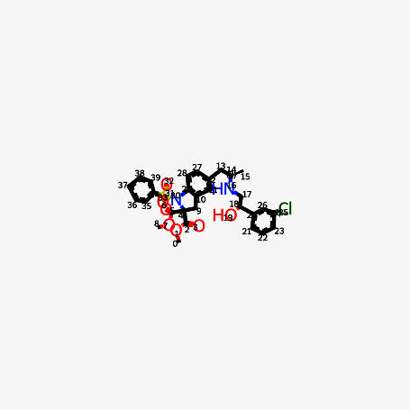 COC(=O)C1(C(=O)OC)Cc2cc(C[C@@H](C)NCC(O)c3cccc(Cl)c3)ccc2N1S(=O)(=O)c1ccccc1